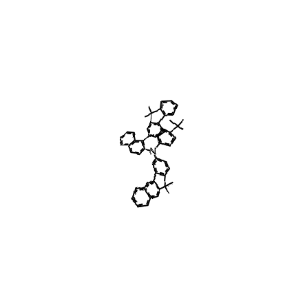 CC(C)(C)c1ccc(N(c2ccc3c(c2)-c2cc4ccccc4cc2C3(C)C)c2ccc3ccccc3c2-c2ccc3c(c2)C(C)(C)c2ccccc2-3)cc1